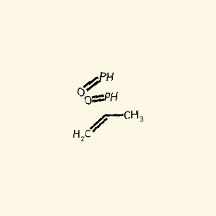 C=CC.O=P.O=P